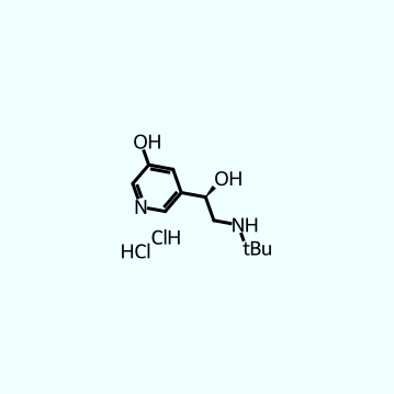 CC(C)(C)NC[C@H](O)c1cncc(O)c1.Cl.Cl